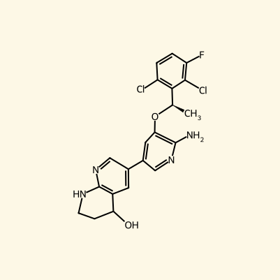 C[C@@H](Oc1cc(-c2cnc3c(c2)C(O)CCN3)cnc1N)c1c(Cl)ccc(F)c1Cl